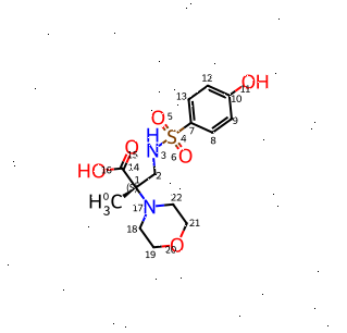 C[C@](CNS(=O)(=O)c1ccc(O)cc1)(C(=O)O)N1CCOCC1